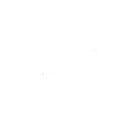 O=C(O)COc1c(-c2ccccc2)cc(Br)cc1-c1ccccc1